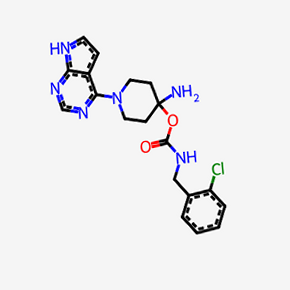 NC1(OC(=O)NCc2ccccc2Cl)CCN(c2ncnc3[nH]ccc23)CC1